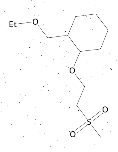 CCOCC1CCCCC1OCCS(C)(=O)=O